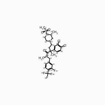 C[C@H]1CN(CCC(C)(C(=O)N(C)Cc2ccc(C(F)(F)F)c(F)c2)c2ccc(Cl)c(Cl)c2)CCN1S(C)(=O)=O